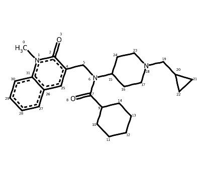 Cn1c(=O)c(CN(C(=O)C2CCCCC2)C2CCN(CC3CC3)CC2)cc2ccccc21